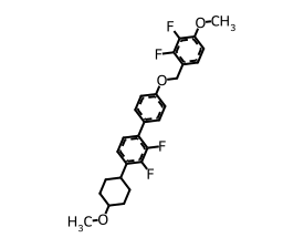 COc1ccc(COc2ccc(-c3ccc(C4CCC(OC)CC4)c(F)c3F)cc2)c(F)c1F